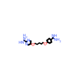 N=C(N)c1ccc(OCCCCCOc2cnc(C(=N)N)nc2)cc1